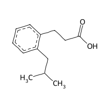 CC(C)Cc1ccccc1CCC(=O)O